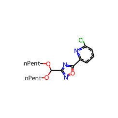 CCCCCOC(OCCCCC)c1noc(-c2cccc(Cl)n2)n1